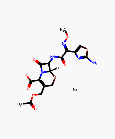 CON=C(C(=O)NC1C(=O)N2C(C(=O)[O-])=C(COC(C)=O)CS[C@@H]12)c1csc(N)n1.[Na+]